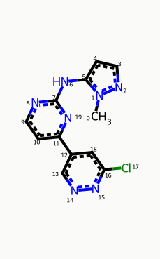 Cn1nccc1Nc1nccc(-c2cnnc(Cl)c2)n1